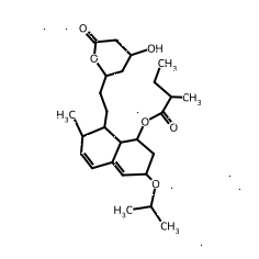 CCC(C)C(=O)OC1CC(OC(C)C)C=C2C=CC(C)C(CCC3CC(O)CC(=O)O3)C21